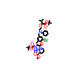 COC(=O)[C@@H]1CCCN(C(=O)[C@H](Cc2cc(Br)cc(CN(CCO[C@H](C(=O)OC(C)(C)C)C(C)C)c3ccccc3)c2)NC(=O)OC(C)(C)C)N1